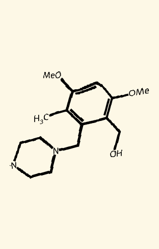 COc1cc(OC)c(CO)c(CN2CC[N]CC2)c1C